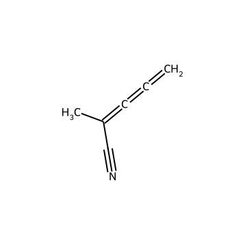 C=C=C=C(C)C#N